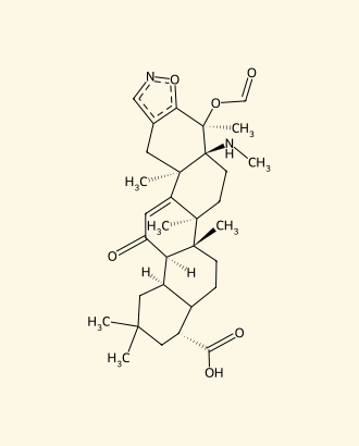 CN[C@@]12CC[C@]3(C)C(=CC(=O)[C@@H]4[C@@H]5CC(C)(C)C[C@@H](C(=O)O)C5CC[C@]43C)[C@@]1(C)Cc1cnoc1[C@@]2(C)OC=O